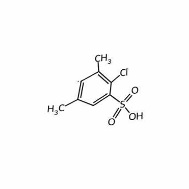 Cc1[c]c(C)c(Cl)c(S(=O)(=O)O)c1